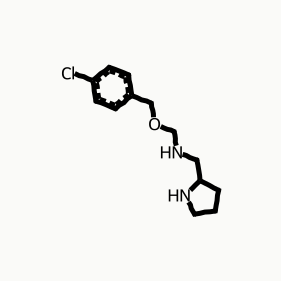 Clc1ccc(COCNCC2CCCN2)cc1